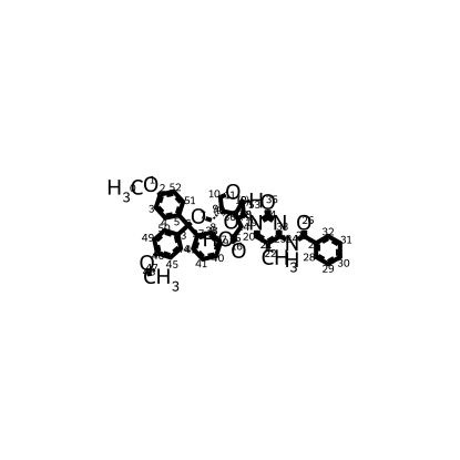 COc1ccc(C(OC[C@]23CO[C@@H](C2CC(=O)O)[C@H](n2cc(C)c(NC(=O)c4ccccc4)nc2=O)O3)(c2ccccc2)c2ccc(OC)cc2)cc1